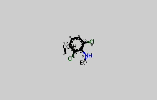 CC(=O)O.CCNc1c(Cl)cccc1Cl